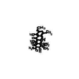 CCc1cc(CC)c2c(c1O)C(=O)C1=C(O)[C@]3(O)C(=O)C(C(N)=O)=C(O)[C@@H](N(C)C)[C@@H]3C[C@@H]1C2